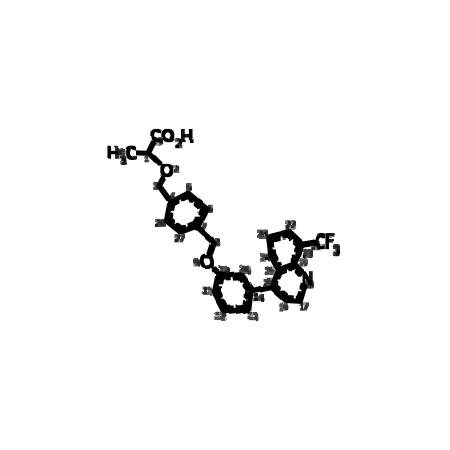 CC(OCc1ccc(COc2cccc(-c3ccnc4c(C(F)(F)F)cccc34)c2)cc1)C(=O)O